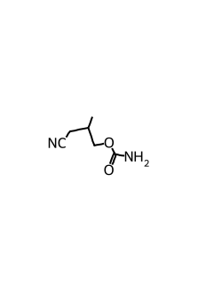 CC(CC#N)COC(N)=O